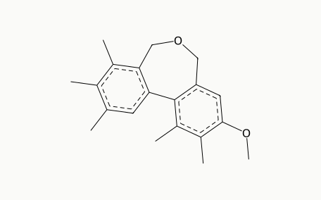 COc1cc2c(c(C)c1C)-c1cc(C)c(C)c(C)c1COC2